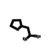 O=C(O)C(CC1CCCO1)C(F)(F)F